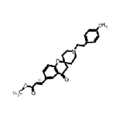 COC(=O)/C=C/c1ccc2c(c1)C(=O)CC1(CCN(CCc3ccc(C)cc3)CC1)O2